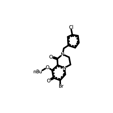 CCCCOc1c2n(cc(Br)c1=O)CCN(Cc1cccc(Cl)c1)C2=O